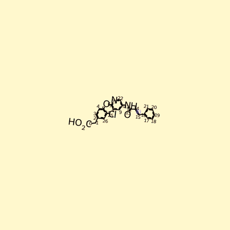 O=C(O)Cc1ccc(Oc2ccc(NC(=O)/C=C/c3ccccc3)cn2)c(Cl)c1